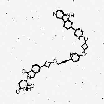 O=C1CCC(N2Cc3cc(C4CC(OCC#Cc5ccc(OC6CC(Oc7ccc(-c8ccc9c(c8)[nH]c8ccncc89)cn7)C6)cn5)C4)ccc3C2=O)C(=O)N1